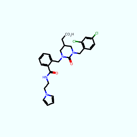 O=C(O)CC1CN(Cc2ccc(Cl)cc2Cl)C(=O)N(Cc2ccccc2C(=O)NCCn2cccc2)C1